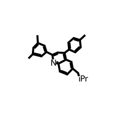 Cc1ccc(-c2cc(-c3cc(C)cc(C)c3)nc3ccc(CC(C)C)cc23)cc1